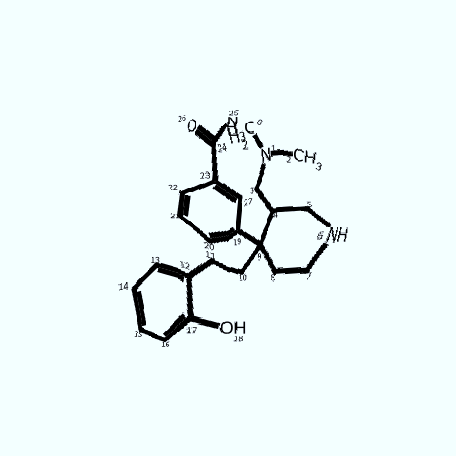 CN(C)CC1CNCCC1(CCc1ccccc1O)c1cccc(C(N)=O)c1